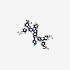 Cc1ccc(N(c2ccc(C)cc2)c2ccc(N3c4cc5cc(-c6ccc(F)cc6)n(-c6ccc(N(c7ccc(C)cc7)c7ccc(C)cc7)cc6)c5cc4CC3c3ccc(F)cc3)cc2)cc1